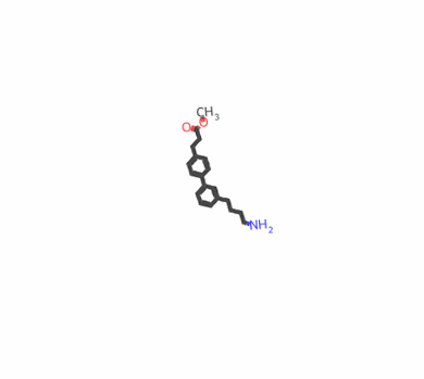 COC(=O)CCc1ccc(-c2cccc(CCCCN)c2)cc1